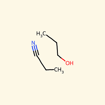 CCC#N.CCCO